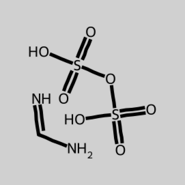 N=CN.O=S(=O)(O)OS(=O)(=O)O